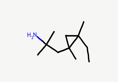 CCC1(C)CC1(C)CC(C)(C)N